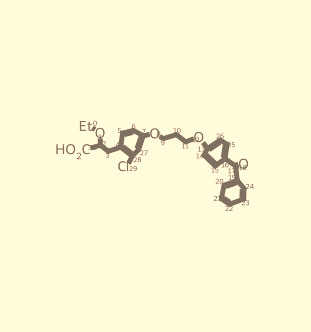 CCOC(Cc1ccc(OCCCOc2ccc(C(=O)c3ccccc3)cc2)cc1Cl)C(=O)O